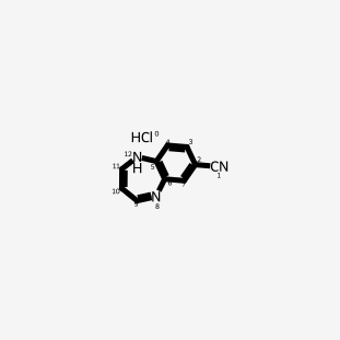 Cl.N#Cc1ccc2c(c1)N=CC=CN2